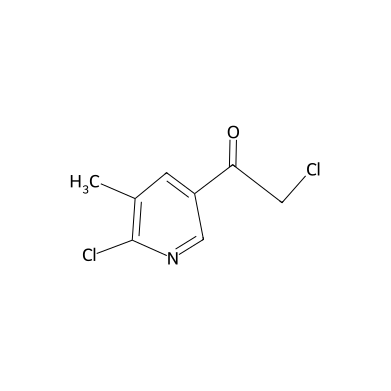 Cc1cc(C(=O)CCl)cnc1Cl